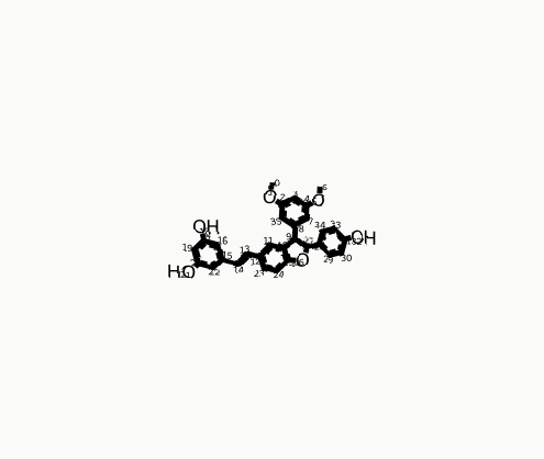 COc1cc(OC)cc(C2c3cc(/C=C/c4cc(O)cc(O)c4)ccc3OC2c2ccc(O)cc2)c1